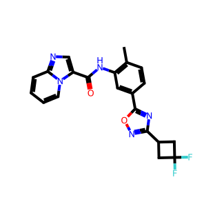 Cc1ccc(-c2nc(C3CC(F)(F)C3)no2)cc1NC(=O)c1cnc2ccccn12